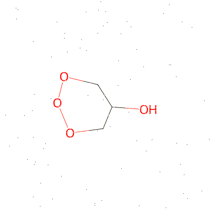 OC1COOOC1